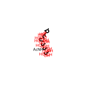 C=C1CC(C)CCCC1OCC1(O)COC(CO)[C@@H](O[C@@H]2OC(CO)[C@H](O[C@H]3OC(CO)[C@H](O)C(O[C@@H]4OC(CO)[C@H](O)C(O[C@@H]5OC(CO)[C@H](O)C(O)C5O)C4NC(C)=O)C3O)C(O)C2O)C1O